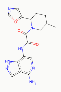 CC1CCC(c2cnco2)N(C(=O)C(=O)Nc2cnc(N)c3cn[nH]c23)C1